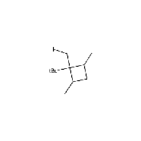 CC1CC(C)C1(CI)C(C)(C)C